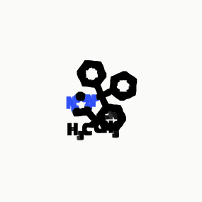 CC(C)(C#N)c1cncn1C(c1ccccc1)(c1ccccc1)c1ccccc1